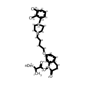 CCCCCCCCCCC(C)C(=O)ON1C(=O)CCc2ccc(OCCCCN3CCN(c4cccc(Cl)c4Cl)CC3)cc21